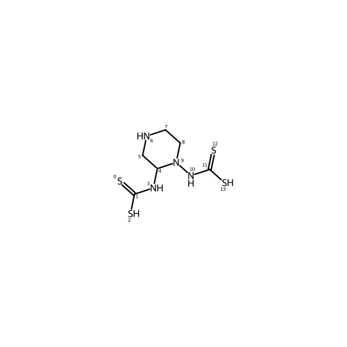 S=C(S)NC1CNCCN1NC(=S)S